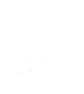 COc1ccc2c(OC)nc(-n3cccn3)nc2c1